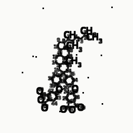 CC(C)CCCC(C)C1CCC2C3CCC4CC(c5ccc(Oc6ccc7c(c6)C(=O)OC7=O)cc5)(c5cccc(Oc6ccc7c(c6)C(=O)OC7=O)c5)CCC4(C)C3CCC12C